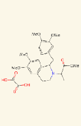 COC(=O)C(C)N1CCc2cc(OC)c(OC)cc2C1Cc1ccc(OC)c(OC)c1.O=C(O)C(=O)O